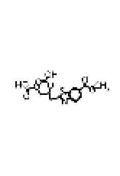 COC(=O)c1ccc2nc(CC(COC(=O)O)OC(=O)O)sc2c1